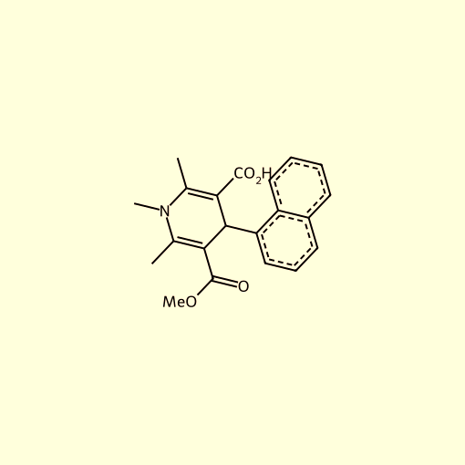 COC(=O)C1=C(C)N(C)C(C)=C(C(=O)O)C1c1cccc2ccccc12